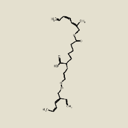 C=C/C=C\C=C(/C)COC(=O)CCCCC(CCCOOC/C(C=C)=C/C=C\C)C(=O)O